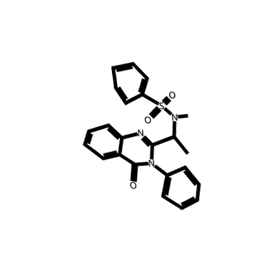 CC(c1nc2ccccc2c(=O)n1-c1ccccc1)N(C)S(=O)(=O)c1ccccc1